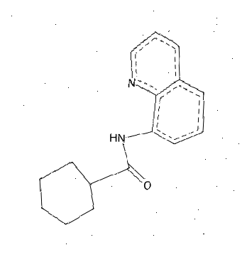 O=C(Nc1cccc2cccnc12)C1CCCCC1